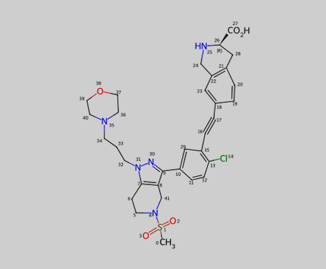 CS(=O)(=O)N1CCc2c(c(-c3ccc(Cl)c(C#Cc4ccc5c(c4)CN[C@@H](C(=O)O)C5)c3)nn2CCCN2CCOCC2)C1